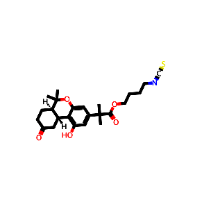 CC(C)(C(=O)OCCCCN=C=S)c1cc(O)c2c(c1)OC(C)(C)[C@@H]1CCC(=O)C[C@@H]21